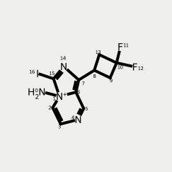 N[N+]12C=CN=CC1=C(C1CC(F)(F)C1)N=C2I